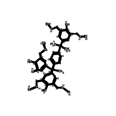 CCOCc1cc(C(C)(c2ccc(C(C)(C)c3cc(COCC)c(O)c(COCC)c3)cc2)c2cc(COCC)c(O)c(COCC)c2)cc(CC)c1O